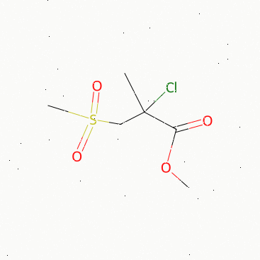 COC(=O)C(C)(Cl)CS(C)(=O)=O